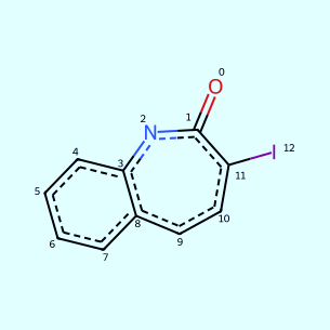 O=c1nc2ccccc2ccc1I